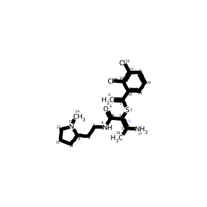 C=C(S/C(C(=O)NCCC1CCCN1C)=C(/C)N)c1cccc(Cl)c1Cl